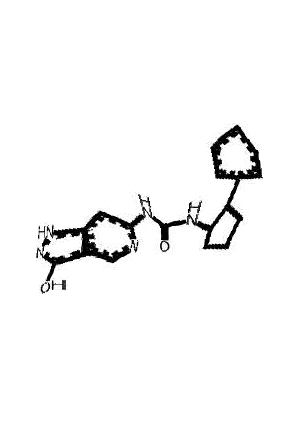 O=C(Nc1cc2[nH]nc(O)c2cn1)NC1CCCC1c1ccccc1